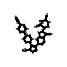 Cn1cnc(-c2ccc3c(c2)CN(C2CCC(=O)NC2=O)C3=O)c1-c1ccc(-c2ccc(C#N)cc2)cc1